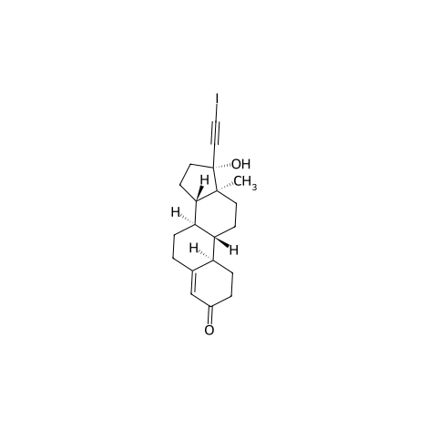 C[C@]12CC[C@H]3[C@@H](CCC4=CC(=O)CC[C@@H]43)[C@@H]1CC[C@@]2(O)C#CI